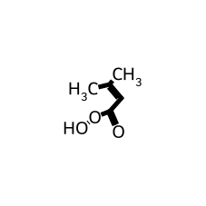 CC(C)=CC(=O)OO